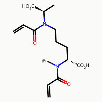 C=CC(=O)N(CCC[C@H](C(=O)O)N(C(=O)C=C)C(C)C)[C@H](C)C(=O)O